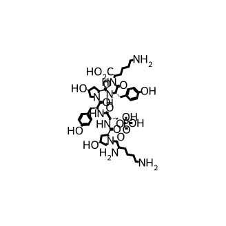 NCCCC[C@H](NC(=O)[C@H](Cc1ccc(O)cc1)NC(=O)[C@@H]1C[C@@H](O)CN1C(=O)[C@H](Cc1ccc(O)cc1)NC(=O)[C@H](COP(=O)(O)O)NC(=O)[C@@H]1C[C@@H](O)CN1C(=O)[C@@H](N)CCCCN)C(=O)O